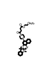 CCCOCCOC(=O)CCC(=O)N1CCN(c2cc3c(c4ccccc24)N=CC2(O3)N(C)c3ccccc3C2(C)C)CC1